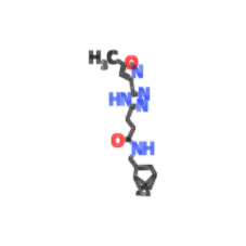 Cc1cc(-c2nnc(CCC(=O)NCC3=CC4CCC3C43CC3)[nH]2)no1